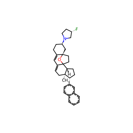 C[C@]12CC=C3C=C4CC[C@@H](N5CC[C@H](F)C5)C[C@]45CCC3(O5)[C@@H]1CC[C@@H]2c1ccc2ccccc2c1